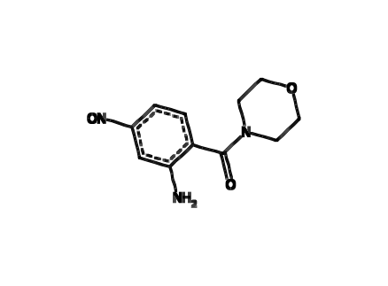 Nc1cc(N=O)ccc1C(=O)N1CCOCC1